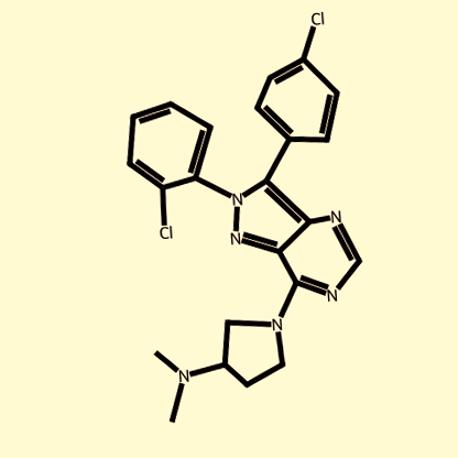 CN(C)C1CCN(c2ncnc3c(-c4ccc(Cl)cc4)n(-c4ccccc4Cl)nc23)C1